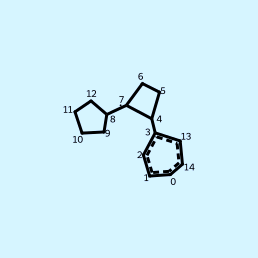 c1ccc(C2CC[C]2C2CCCC2)cc1